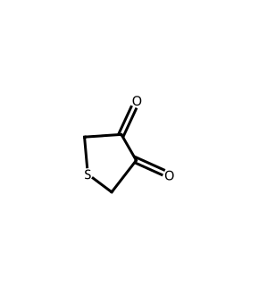 O=C1CSCC1=O